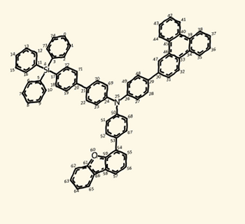 c1ccc([Si](c2ccccc2)(c2ccccc2)c2ccc(-c3ccc(N(c4ccc(-c5ccc6c7ccccc7c7ccccc7c6c5)cc4)c4ccc(-c5cccc6c5oc5ccccc56)cc4)cc3)cc2)cc1